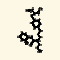 CCOC(Cc1ccc(OCCN(CCC(C)C)C(=O)Oc2ccccc2C(F)(F)F)cc1)C(=O)O